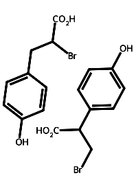 O=C(O)C(Br)Cc1ccc(O)cc1.O=C(O)C(CBr)c1ccc(O)cc1